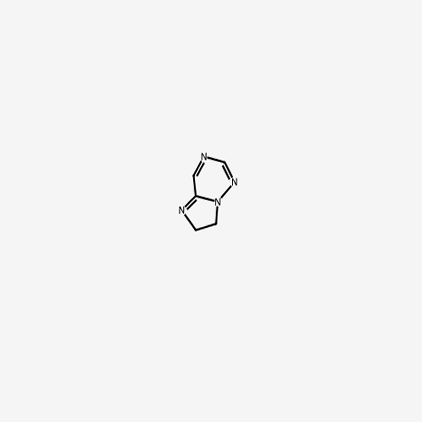 C1=NC=NN2CCN=C12